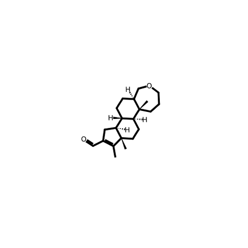 CC1=C(C=O)C[C@H]2[C@@H]3CC[C@H]4COCCC[C@]4(C)[C@H]3CC[C@]12C